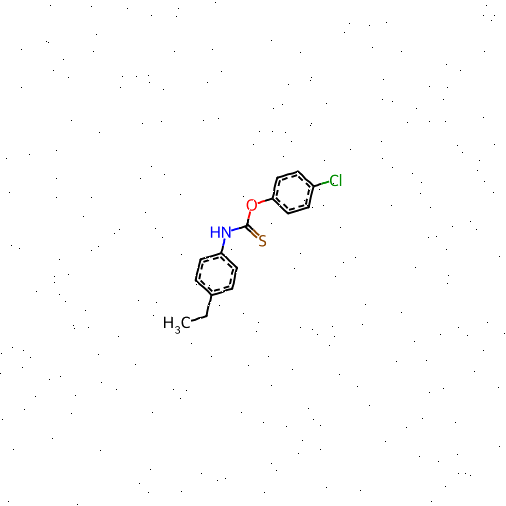 CCc1ccc(NC(=S)Oc2ccc(Cl)cc2)cc1